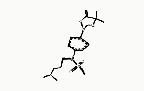 C=C1OB(c2ccc(N(CCCN(C)C)S(C)(=O)=O)cc2)OC1(C)C